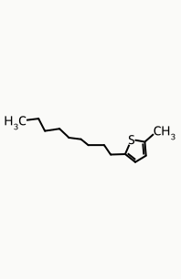 CCCCCCCCCc1ccc(C)s1